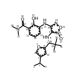 CC(C)c1coc([C@H](Nc2c(Nc3cccc(C(=O)N(C)C)c3O)no[n+]2[O-])C(C)(C)C)c1